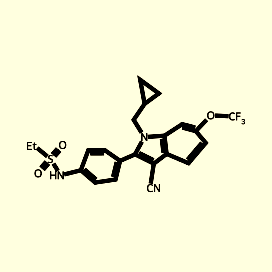 CCS(=O)(=O)Nc1ccc(-c2c(C#N)c3ccc(OC(F)(F)F)cc3n2CC2CC2)cc1